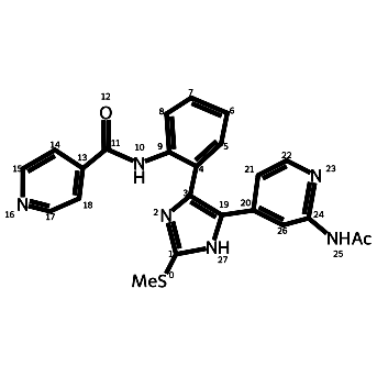 CSc1nc(-c2ccccc2NC(=O)c2ccncc2)c(-c2ccnc(NC(C)=O)c2)[nH]1